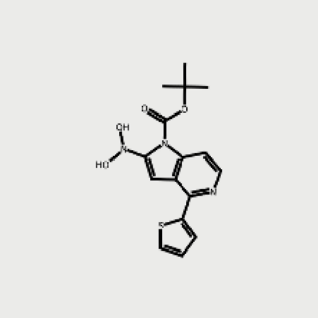 CC(C)(C)OC(=O)n1c(N(O)O)cc2c(-c3cccs3)nccc21